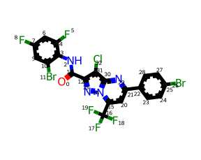 O=C(Nc1c(F)cc(F)cc1Br)c1nn2c(C(F)(F)F)cc(-c3ccc(Br)cc3)nc2c1Cl